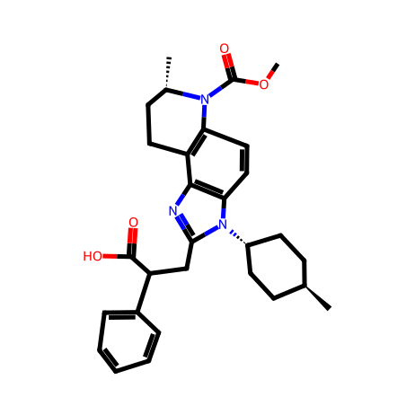 COC(=O)N1c2ccc3c(nc(CC(C(=O)O)c4ccccc4)n3[C@H]3CC[C@H](C)CC3)c2CC[C@@H]1C